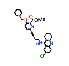 COC(=O)c1nc(C#CCCNc2c3c(nc4ccc(Cl)cc24)CCCC3)ccc1OCc1ccccc1